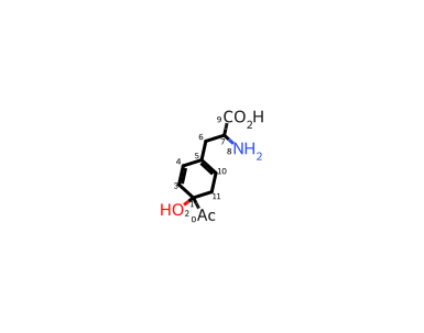 CC(=O)C1(O)C=CC(CC(N)C(=O)O)=CC1